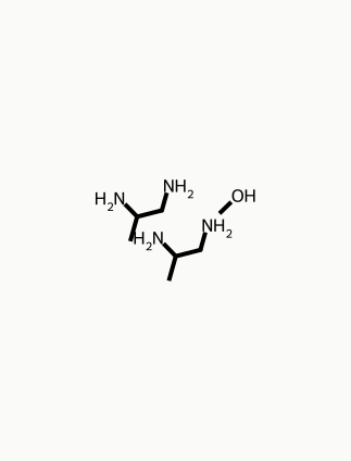 CC(N)CN.CC(N)CN.CO